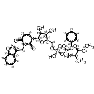 COC(=O)C(C)NP(=O)(Oc1ccccc1)OP(=O)(O)OC[C@H]1O[C@@H](n2ccc(=O)n(Cc3noc4ccccc34)c2=O)[C@@H](O)[C@H]1O